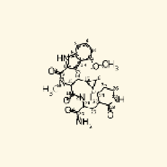 COc1cccc2[nH]c(C(=O)N(C)C(CC3CC3)C(=O)NC(CC3CCCNC3=O)C(N)=O)cc12